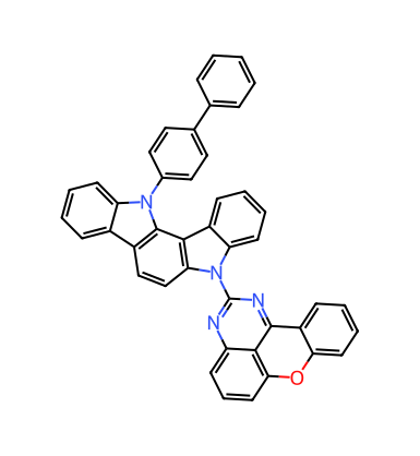 c1ccc(-c2ccc(-n3c4ccccc4c4ccc5c(c6ccccc6n5-c5nc6c7c(cccc7n5)Oc5ccccc5-6)c43)cc2)cc1